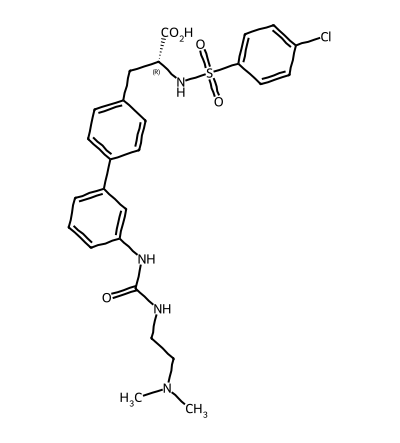 CN(C)CCNC(=O)Nc1cccc(-c2ccc(C[C@@H](NS(=O)(=O)c3ccc(Cl)cc3)C(=O)O)cc2)c1